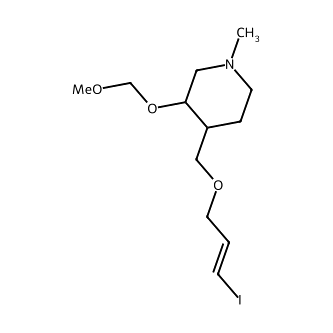 COCOC1CN(C)CCC1COCC=CI